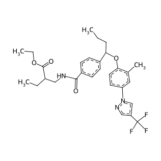 CCCC(Oc1ccc(-n2cc(C(F)(F)F)cn2)cc1C)c1ccc(C(=O)NCC(CC)C(=O)OCC)cc1